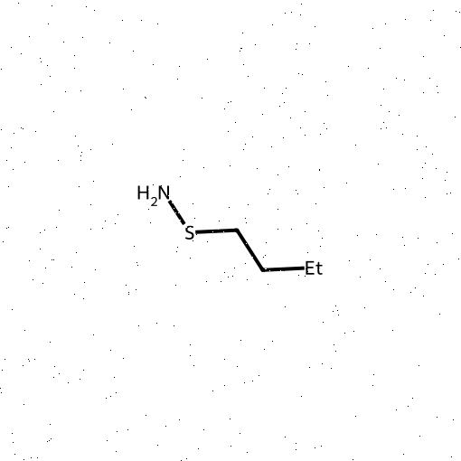 CCCCSN